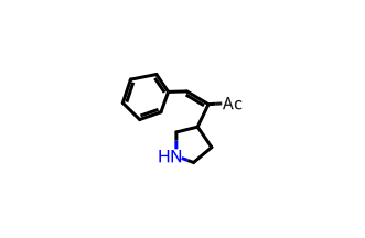 CC(=O)C(=Cc1ccccc1)C1CCNC1